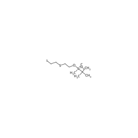 CC(C)(C)[Si](C)(C)OCCSCCI